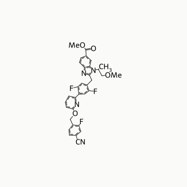 COC[C@@H](C)n1c(Cc2cc(F)c(-c3cccc(OCc4ccc(C#N)cc4F)n3)cc2F)nc2ccc(C(=O)OC)cc21